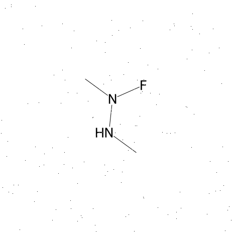 CNN(C)F